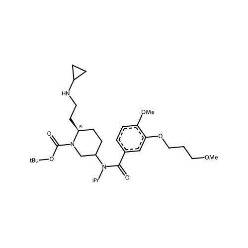 COCCCOc1cc(C(=O)N(C(C)C)C2CC[C@H](CCNC3CC3)N(C(=O)OC(C)(C)C)C2)ccc1OC